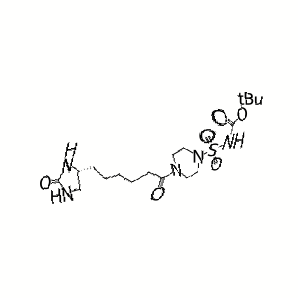 CC(C)(C)OC(=O)NS(=O)(=O)N1CCN(C(=O)CCCCC[C@@H]2CNC(=O)N2)CC1